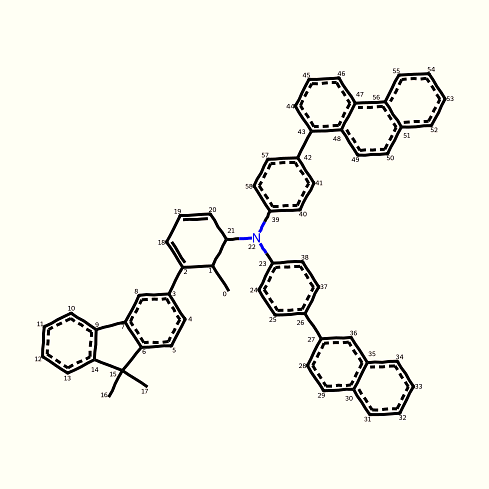 CC1C(c2ccc3c(c2)-c2ccccc2C3(C)C)=CC=CC1N(c1ccc(-c2ccc3ccccc3c2)cc1)c1ccc(-c2cccc3c2ccc2ccccc23)cc1